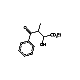 CCOC(=O)C(O)C(C)C(=O)c1ccccc1